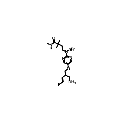 CCCN(CCC(C)(C)C(=O)N(C)C)c1ncc(OCC(C=CF)CN)cn1